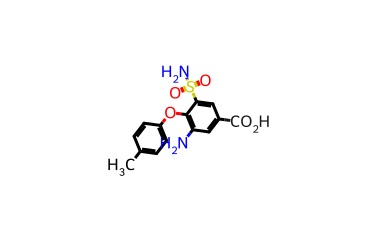 Cc1ccc(Oc2c(N)cc(C(=O)O)cc2S(N)(=O)=O)cc1